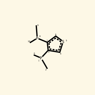 CP(C)c1cscc1P(C)C